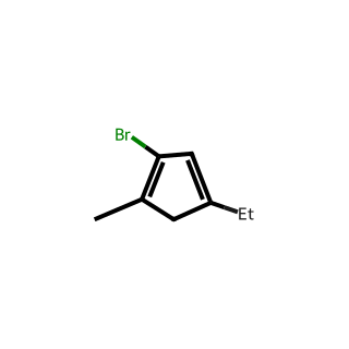 CCC1=CC(Br)=C(C)C1